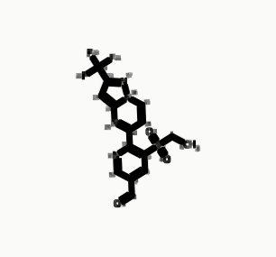 CCS(=O)(=O)c1cc(C=O)cnc1-c1ccn2nc(C(F)(F)F)cc2n1